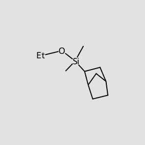 CCO[Si](C)(C)C1CC2CCC1C2